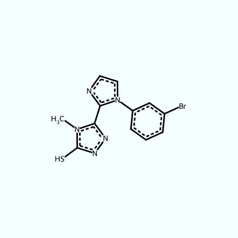 Cn1c(S)nnc1-c1nccn1-c1cccc(Br)c1